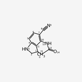 CC12CNc3ccc(C#N)c(c31)NC(=O)C2